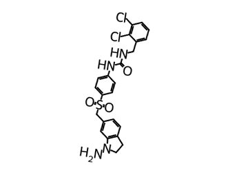 NN1CCc2ccc(CS(=O)(=O)c3ccc(NC(=O)NCc4cccc(Cl)c4Cl)cc3)cc21